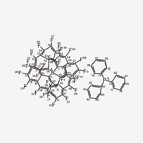 Fc1c(F)c(F)c2c([B-](c3c(F)c(F)c(F)c4c(F)c(F)c(F)c(F)c34)(c3c(F)c(F)c(F)c4c(F)c(F)c(F)c(F)c34)c3c(F)c(F)c(F)c4c(F)c(F)c(F)c(F)c34)c(F)c(F)c(F)c2c1F.c1ccc(P(c2ccccc2)c2ccccc2)cc1